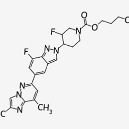 CCCCOC(=O)N1CCC(n2cc3cc(-c4cc(C)c5nc(C)cn5n4)cc(F)c3n2)C(F)C1